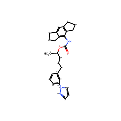 O=C(Nc1c2c(cc3c1CCC3)CCC2)OC(CCCc1cccc(-n2cccn2)c1)C(=O)O